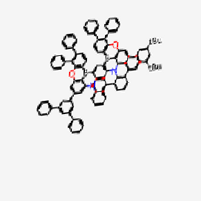 CC(C)(C)c1cc(-c2cc3c4c(c2)N(c2c(-c5ccccc5)cccc2-c2ccccc2)c2cc5c(cc2B4c2ccc(-c4ccccc4)c(-c4ccccc4)c2O3)B2c3ccc(-c4ccccc4)c(-c4ccccc4)c3Oc3cc(-c4cc(-c6ccccc6)cc(-c6ccccc6)c4)cc(c32)N5c2ccccc2)cc(C(C)(C)C)c1